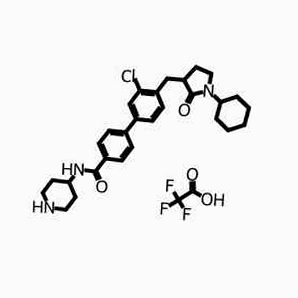 O=C(NC1CCNCC1)c1ccc(-c2ccc(CC3CCN(C4CCCCC4)C3=O)c(Cl)c2)cc1.O=C(O)C(F)(F)F